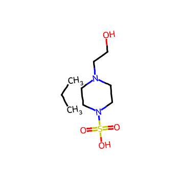 CCC.O=S(=O)(O)N1CCN(CCO)CC1